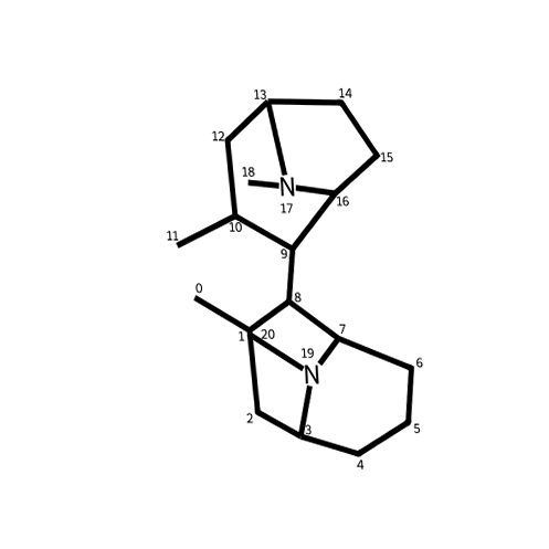 CC1CC2CCCC(C1C1C(C)CC3CCC1N3C)N2C